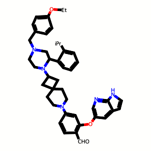 CCOc1ccc(CN2CCN(C3CC4(CCN(c5ccc(C=O)c(Oc6cnc7[nH]ccc7c6)c5)CC4)C3)C(c3ccccc3C(C)C)C2)cc1